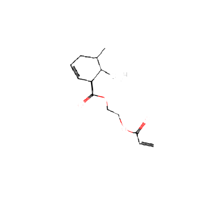 C=CC(=O)OCCOC(=O)C1C=CCC(C)C1C(=O)O